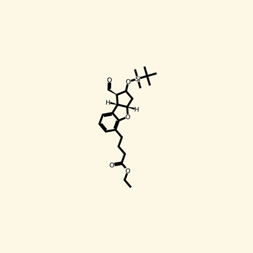 CCOC(=O)CCCc1cccc2c1O[C@H]1CC(O[Si](C)(C)C(C)(C)C)[C@H](C=O)[C@@H]21